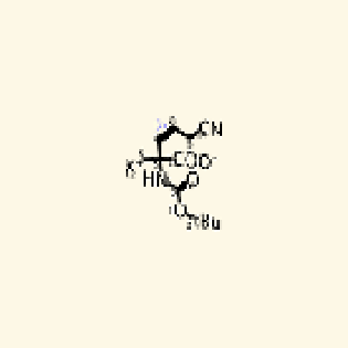 CC(C)(C)OC(=O)NC(C)(/C=C\CC#N)C(=O)[O-].[K+]